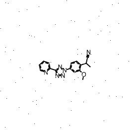 COc1cc(-n2nnc(-c3ccccn3)n2)ccc1C(C)C#N